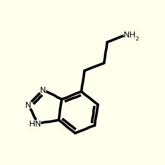 NCCCc1cccc2[nH]nnc12